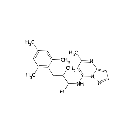 CCC(Nc1cc(C)nc2ccnn12)C(C)Cc1c(C)cc(C)cc1C